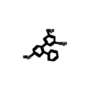 O=C(O)c1cc(C(=O)O)cc(-c2ccc(C(=O)O)cc2-c2ccccc2)c1